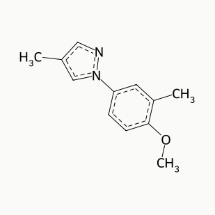 COc1ccc(-n2cc(C)cn2)cc1C